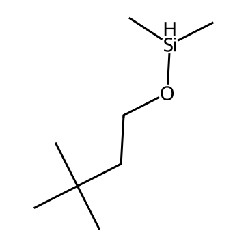 C[SiH](C)OCCC(C)(C)C